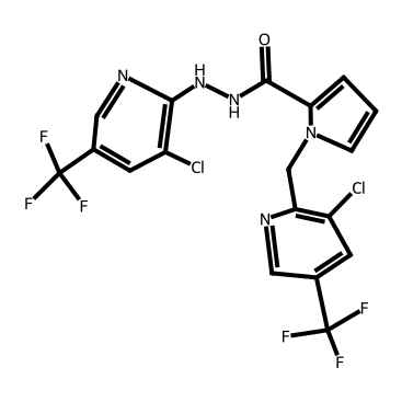 O=C(NNc1ncc(C(F)(F)F)cc1Cl)c1cccn1Cc1ncc(C(F)(F)F)cc1Cl